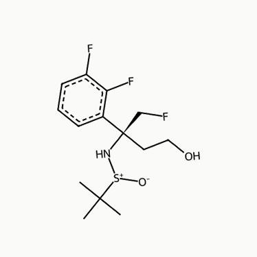 CC(C)(C)[S+]([O-])N[C@@](CF)(CCO)c1cccc(F)c1F